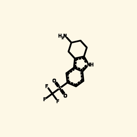 NC1CCc2[nH]c3ccc(S(=O)(=O)C(F)(F)F)cc3c2C1